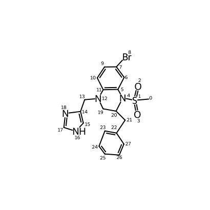 CS(=O)(=O)N1c2cc(Br)ccc2N(Cc2c[nH]cn2)CC1Cc1ccccc1